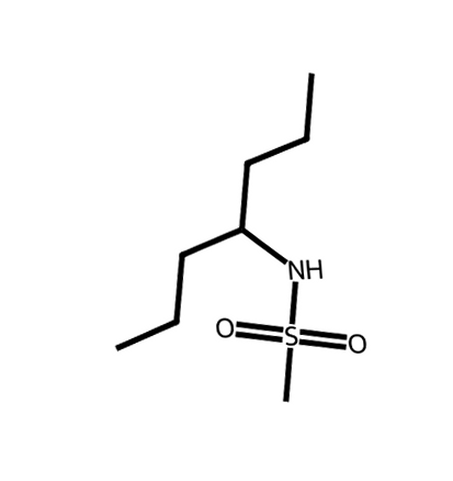 CCCC(CCC)NS(C)(=O)=O